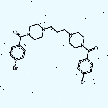 O=C(c1ccc(Br)cc1)N1CCN(CCCN2CCN(C(=O)c3ccc(Br)cc3)CC2)CC1